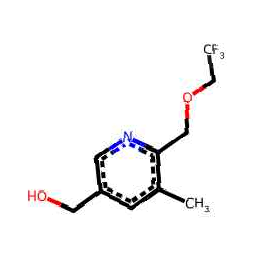 Cc1cc(CO)cnc1COCC(F)(F)F